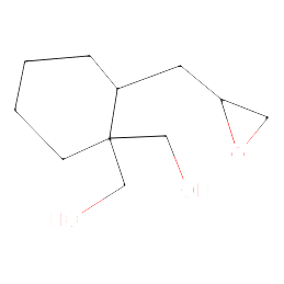 OCC1(CO)CCCCC1CC1CO1